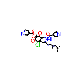 CC[C@H](C)/C=C(C)/C=C/C1=CC2=C(Cl)C(=O)[C@](C)(OC(=O)c3ccncc3)C(=O)C2=CN1NC(=O)c1ccncc1